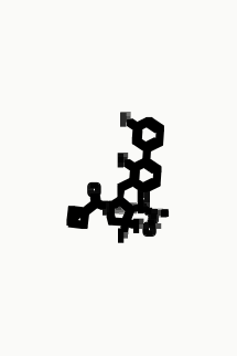 C[S+]([O-])N[C@@H]1[C@H](Cc2cccc(-c3cccc(F)c3)c2F)N(C(=O)C23CC(C2)C3)CC1(F)F